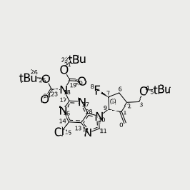 C=C1C(COC(C)(C)C)C[C@H](F)C1n1cnc2c(Cl)nc(N(C(=O)OC(C)(C)C)C(=O)OC(C)(C)C)nc21